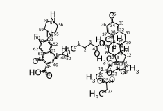 CCCCC(=O)O[C@H]1C[C@@]2(C)[C@@H](C[C@H](C)[C@]2(OC(=O)CC)C(=O)COC(=O)CC)[C@@H]2CCC3=CC(=O)C=C[C@]3(C)C12F.O=C(O)c1cn(C2CC2)c2cc(N3CCNCC3)c(F)cc2c1=O